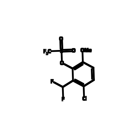 COc1ccc(Cl)c(C(F)F)c1OS(=O)(=O)C(F)(F)F